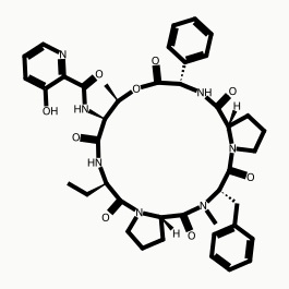 CC[C@H]1NC(=O)[C@@H](NC(=O)c2ncccc2O)[C@@H](C)OC(=O)[C@H](c2ccccc2)NC(=O)[C@@H]2CCCN2C(=O)[C@H](Cc2ccccc2)N(C)C(=O)[C@@H]2CCCN2C1=O